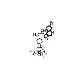 CC(C)n1c([C@H]2CCCN(C(=O)OC(C)(C)C)C2)nc2cnc3cc(Br)ccc3c21